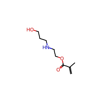 C=C(C)C(=O)OCCNCCCO